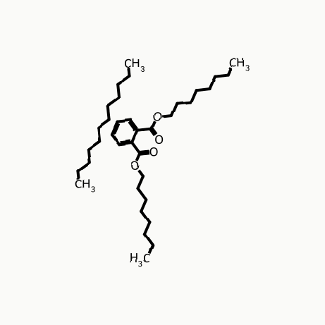 CCCCCCCCCCCC.CCCCCCCCOC(=O)c1ccccc1C(=O)OCCCCCCCC